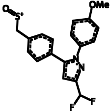 COc1ccc(-n2nc(C(F)F)cc2-c2ccc(C[S+]=O)cc2)cc1